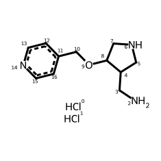 Cl.Cl.NCC1CNCC1OCc1ccncc1